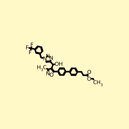 CCOC(=O)CCc1ccc(-c2ccc(-c3onc(C)c3C(O)c3cn(Cc4cccc(C(F)(F)F)c4)nn3)cc2)cc1